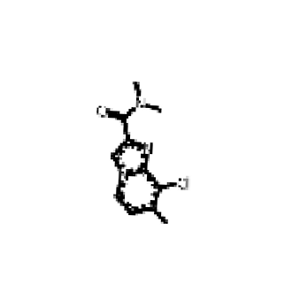 CN(C)C(=O)c1cn2ccc(I)c(Cl)c2n1